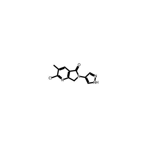 Cc1cc2c(nc1Cl)CN(c1cn[nH]c1)C2=O